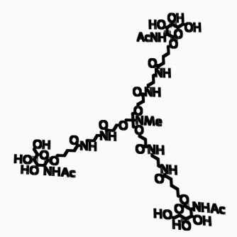 CNC(COCCC(=O)NCCCNC(=O)CCCCO[C@@H]1OC(CO)[C@H](O)C(O)C1NC(C)=O)(COCCC(=O)NCCCNC(=O)CCCCO[C@@H]1OC(CO)[C@H](O)C(O)C1NC(C)=O)COCCC(=O)NCCCNC(=O)CCCCO[C@@H]1OC(CO)[C@H](O)C(O)[C@@H]1NC(C)=O